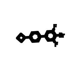 Fc1cc(-c2ccc(C3CCC3)cc2)cc(F)c1Br